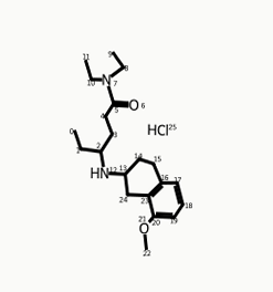 CCC(CCC(=O)N(CC)CC)NC1CCc2cccc(OC)c2C1.Cl